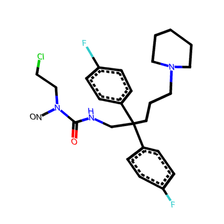 O=NN(CCCl)C(=O)NCC(CCCN1CCCCC1)(c1ccc(F)cc1)c1ccc(F)cc1